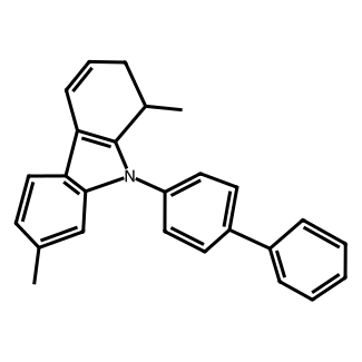 Cc1ccc2c3c(n(-c4ccc(-c5ccccc5)cc4)c2c1)C(C)CC=C3